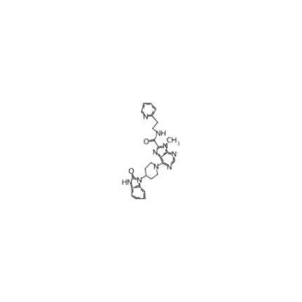 Cn1c(C(=O)NCCc2ccccn2)nc2c(N3CCC(n4c(=O)[nH]c5ccccc54)CC3)ncnc21